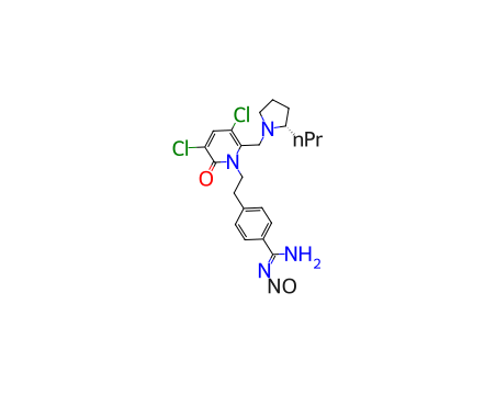 CCC[C@H]1CCCN1Cc1c(Cl)cc(Cl)c(=O)n1CCc1ccc(/C(N)=N/N=O)cc1